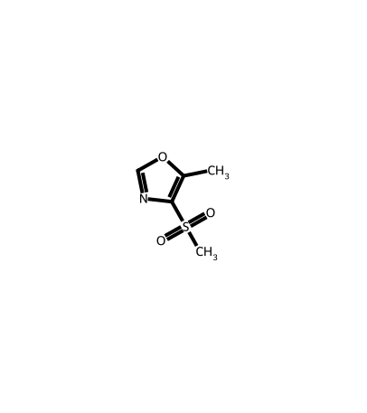 Cc1ocnc1S(C)(=O)=O